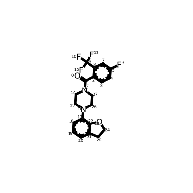 O=C(c1ccc(F)cc1C(F)(F)F)N1CCN(c2cccc3c2OCC3)CC1